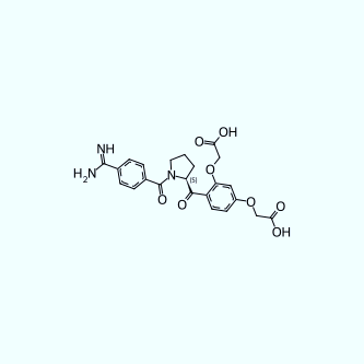 N=C(N)c1ccc(C(=O)N2CCC[C@H]2C(=O)c2ccc(OCC(=O)O)cc2OCC(=O)O)cc1